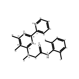 Cc1cccc(C)c1NC(=O)CN(C)c1nc(-c2ccccn2)nc(C)c1C